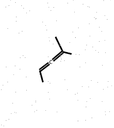 CC=C=C(C)C